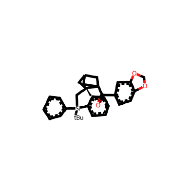 CC(C)(C)[Si](C[C@]1(C)CC2CC1(C(=O)c1ccc3c(c1)OCO3)C2)(c1ccccc1)c1ccccc1